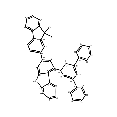 CC1(C)c2ccccc2-c2ccc(-c3cc(C4N=C(c5ccccc5)N=C(c5ccccc5)N4)c4c(c3)oc3ccccc34)cc21